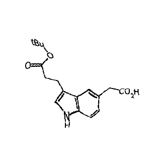 CC(C)(C)OC(=O)CCc1c[nH]c2ccc(CC(=O)O)cc12